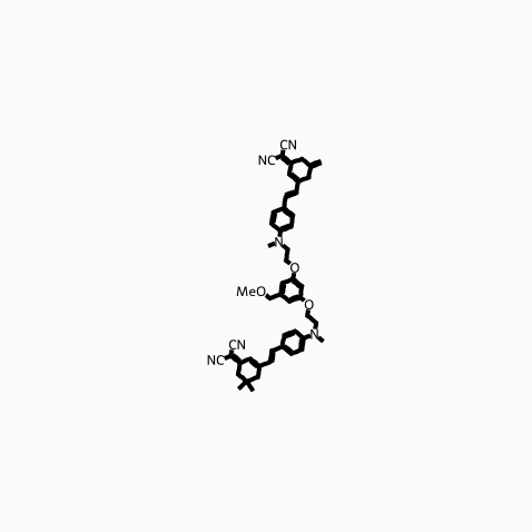 C=C1CC(/C=C/c2ccc(N(C)CCOc3cc(COC)cc(OCCN(C)c4ccc(/C=C/C5=CC(=C(C#N)C#N)CC(C)(C)C5)cc4)c3)cc2)=CC(=C(C#N)C#N)C1